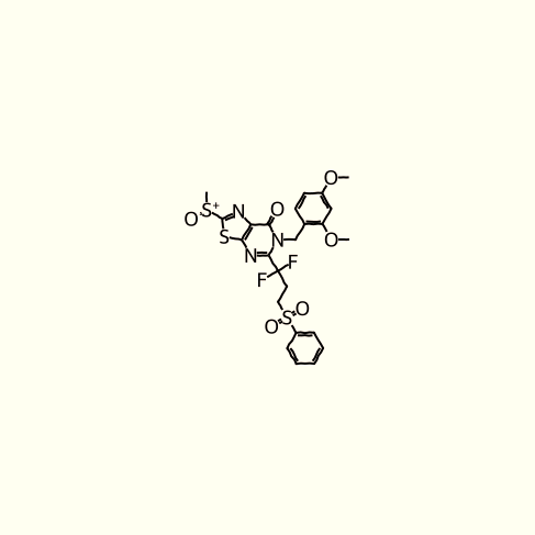 COc1ccc(Cn2c(C(F)(F)CCS(=O)(=O)c3ccccc3)nc3sc([S+](C)[O-])nc3c2=O)c(OC)c1